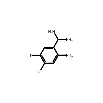 Nc1cc(Cl)c(F)cc1C(N)N